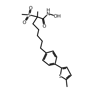 Cc1ccc(-c2ccc(CCCCCC(C)(C(=O)NO)S(C)(=O)=O)cc2)s1